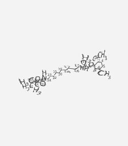 CC(C)[C@@H]1CC[C@@H](C)C[C@H]1OCC(=O)NCCCCCCCCCCNC(=O)OC(C)(C)C